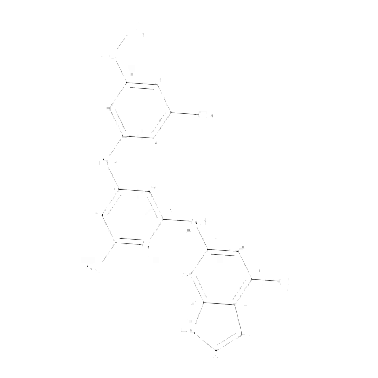 N#Cc1cc(Nc2cc(Cl)cc(OC(F)(F)F)c2)cc(Nc2cc(Cl)c3cc[nH]c3c2)n1